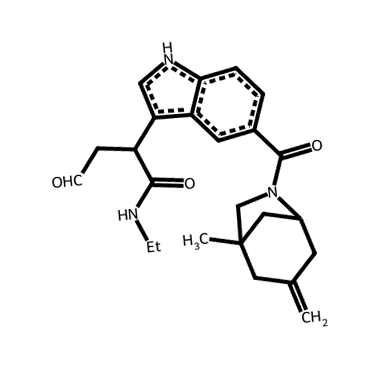 C=C1CC2CC(C)(C1)CN2C(=O)c1ccc2[nH]cc(C(CC=O)C(=O)NCC)c2c1